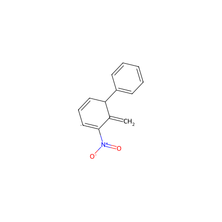 C=C1C([N+](=O)[O-])=[C]C=CC1c1ccccc1